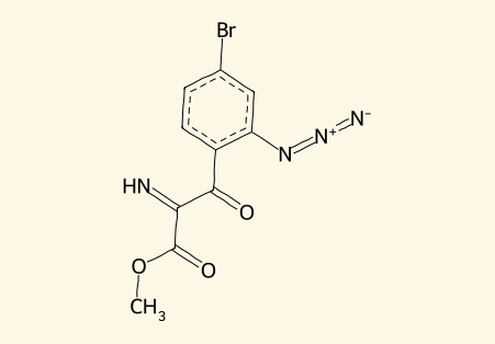 COC(=O)C(=N)C(=O)c1ccc(Br)cc1N=[N+]=[N-]